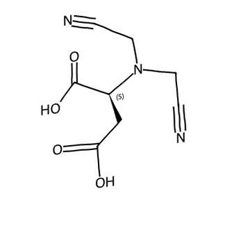 N#CCN(CC#N)[C@@H](CC(=O)O)C(=O)O